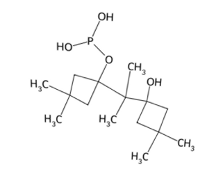 CC1(C)CC(O)(C(C)(C)C2(OP(O)O)CC(C)(C)C2)C1